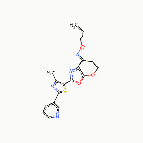 C=CCO/N=C1\CCOc2oc(-c3sc(-c4cccnc4)nc3C)nc21